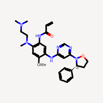 C=CC(=O)Nc1cc(Nc2cc(N3OCC[C@@H]3c3ccccc3)ncn2)c(OC)cc1N(C)CCN(C)C